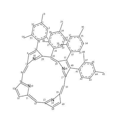 Cc1ccc(C2=CC3=CC4=NC(=CC5=NC(=CC6=NC(=C(c7ccc(C)cc7C)C2=N3)C(c2ccc(C)cc2C)=C6c2ccc(C)cc2C)C=C5)C=C4)c(C)c1